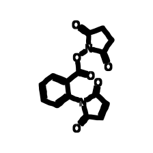 O=C(ON1C(=O)CCC1=O)c1ccccc1N1C(=O)C=CC1=O